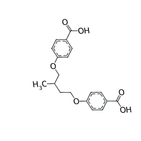 CC(CCOc1ccc(C(=O)O)cc1)COc1ccc(C(=O)O)cc1